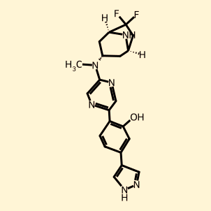 CN(c1cnc(-c2ccc(-c3cn[nH]c3)cc2O)cn1)[C@H]1C[C@@H]2CC(F)(F)[C@H](C1)N2